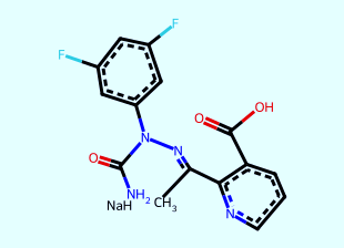 C/C(=N\N(C(N)=O)c1cc(F)cc(F)c1)c1ncccc1C(=O)O.[NaH]